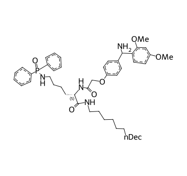 CCCCCCCCCCCCCCCCNC(=O)[C@H](CCCCNP(=O)(c1ccccc1)c1ccccc1)NC(=O)COc1ccc(C(N)c2ccc(OC)cc2OC)cc1